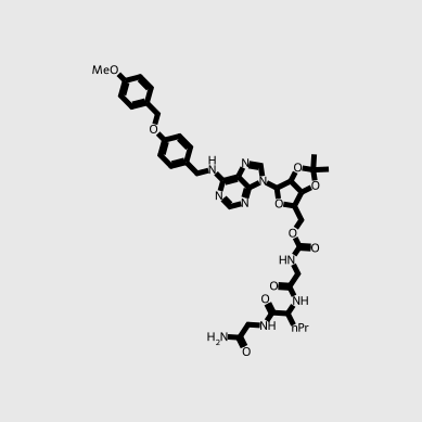 CCCC(NC(=O)CNC(=O)OCC1OC(n2cnc3c(NCc4ccc(OCc5ccc(OC)cc5)cc4)ncnc32)C2OC(C)(C)OC12)C(=O)NCC(N)=O